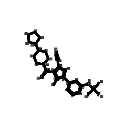 Cn1c(-c2cccc(OC(F)(F)F)c2)nc(C#N)c1C(=O)N1CCC(N2CCCC2)CC1